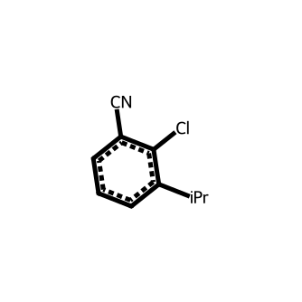 [CH2]C(C)c1cccc(C#N)c1Cl